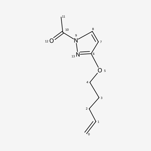 C=CCCCOc1ccn(C(C)=O)n1